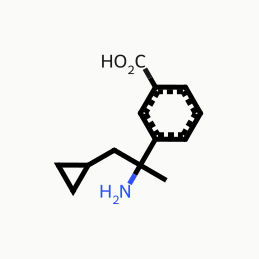 CC(N)(CC1CC1)c1cccc(C(=O)O)c1